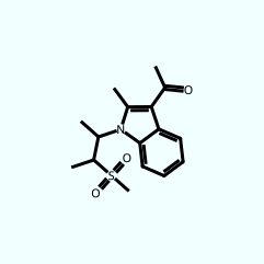 CC(=O)c1c(C)n(C(C)C(C)S(C)(=O)=O)c2ccccc12